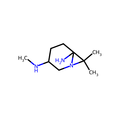 CNC1CCC2(N)N(C1)C2(C)C